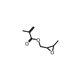 C=C(C)C(=O)OCC1OC1C